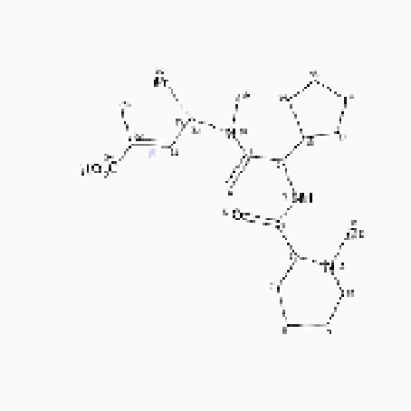 C=C(C(NC(=O)C1CCCCN1C(C)CC)C1CCCC1)N(C)[C@H](/C=C(\C)C(=O)O)C(C)C